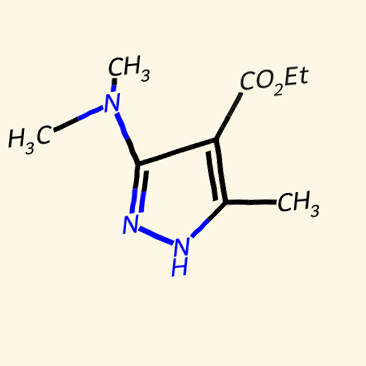 CCOC(=O)c1c(N(C)C)n[nH]c1C